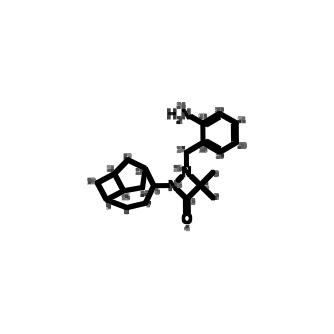 CC1(C)C(=O)N(C2CCC3CC4CC2CC34)N1Cc1ccccc1N